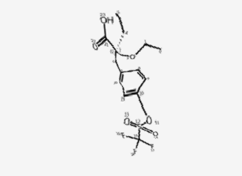 CCO[C@@](CC)(Cc1ccc(OS(=O)(=O)C(F)(F)F)cc1)C(=O)O